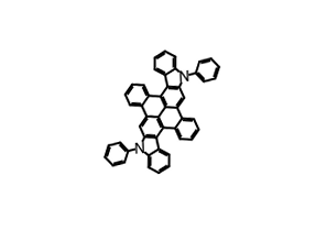 c1ccc(-n2c3ccccc3c3c4c5ccccc5c5cc6c(c7ccccc7n6-c6ccccc6)c6c7ccccc7c(cc32)c4c56)cc1